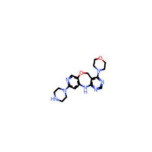 c1nc2c(c(N3CCOCC3)n1)COc1cnc(N3CCNCC3)cc1N2